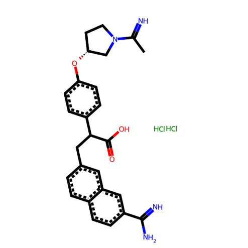 CC(=N)N1CC[C@@H](Oc2ccc(C(Cc3ccc4ccc(C(=N)N)cc4c3)C(=O)O)cc2)C1.Cl.Cl